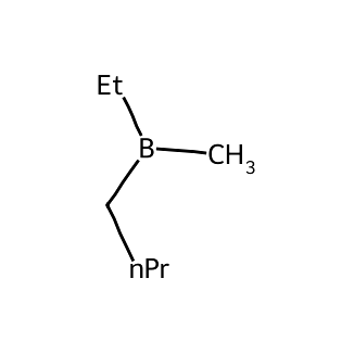 CCCCB(C)CC